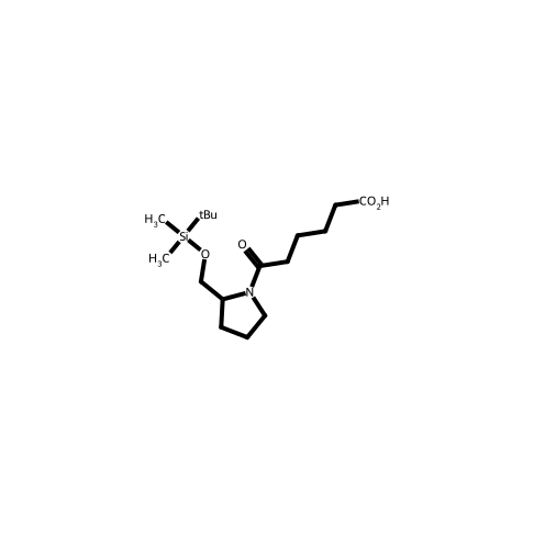 CC(C)(C)[Si](C)(C)OCC1CCCN1C(=O)CCCCC(=O)O